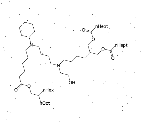 CCCCCCCCC(CCCCCC)COC(=O)CCCCCN(CCCCN(CCO)CCCCC(COC(=O)CCCCCCC)COC(=O)CCCCCCC)C1CCCCC1